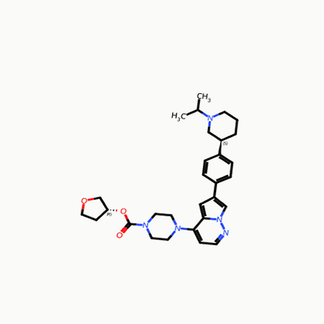 CC(C)N1CCC[C@@H](c2ccc(-c3cc4c(N5CCN(C(=O)O[C@@H]6CCOC6)CC5)ccnn4c3)cc2)C1